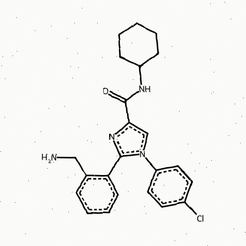 NCc1ccccc1-c1nc(C(=O)NC2CCCCC2)cn1-c1ccc(Cl)cc1